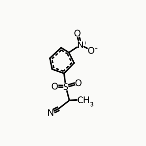 CC(C#N)S(=O)(=O)c1cccc([N+](=O)[O-])c1